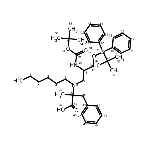 CCCCCCN(CC(CO[Si](c1ccccc1)(c1ccccc1)C(C)(C)C)NC(=O)OC(C)(C)C)C(C)(Cc1ccccc1)C(=O)O